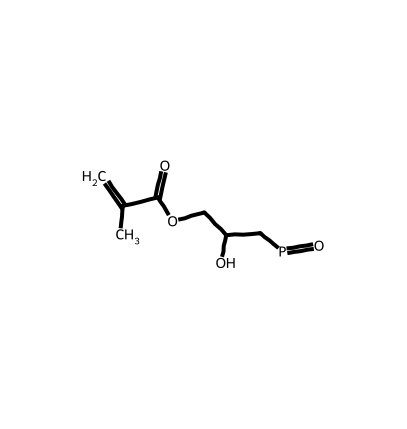 C=C(C)C(=O)OCC(O)CP=O